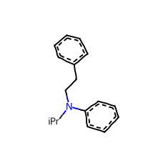 CC(C)N(CCc1ccccc1)c1ccccc1